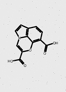 O=C(O)C1=Cn2ccc3ccc(C(=O)O)c(c32)O1